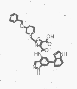 O=C(Nc1cc(-c2cccc3[nH]ccc23)cc2[nH]ncc12)c1nc(CN2CCCC(OCc3ccccc3)C2)sc1C(=O)O